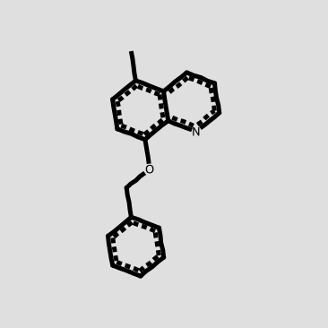 Cc1ccc(OCc2ccccc2)c2ncccc12